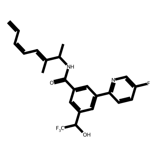 C=C/C=C\C=C(/C)C(C)NC(=O)c1cc(-c2ccc(F)cn2)cc(C(O)C(F)(F)F)c1